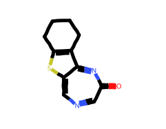 O=c1cncc2sc3c(c2n1)CCCC3